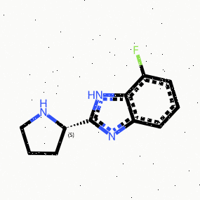 Fc1cccc2nc([C@@H]3CCCN3)[nH]c12